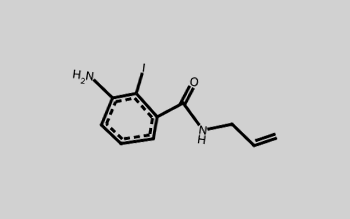 C=CCNC(=O)c1cccc(N)c1I